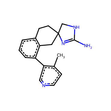 Cc1ccncc1-c1cccc2c1CC1(CC2)CNC(N)=N1